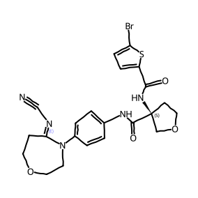 N#C/N=C1\CCOCCN1c1ccc(NC(=O)[C@]2(NC(=O)c3ccc(Br)s3)CCOC2)cc1